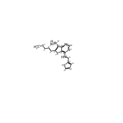 CSC[C@H](N)Cc1sc2c(NCc3cccs3)nnnc2c1Br